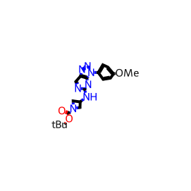 COc1ccc(-n2nnc3cnc(NC4CN(C(=O)OC(C)(C)C)C4)nc32)cc1